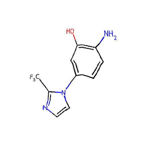 Nc1ccc(-n2ccnc2C(F)(F)F)cc1O